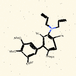 C=CCN(CC=C)c1c(C#N)cc(CCCCCCC)c(-c2cc(OC)c(OC)c(OC)c2)c1C#N